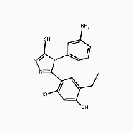 CCc1cc(-c2nnc(S)n2-c2cccc(N)c2)c(O)cc1O